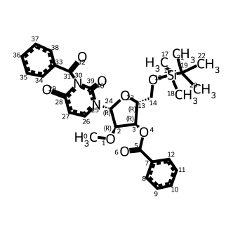 CO[C@@H]1[C@H](OC(=O)c2ccccc2)[C@@H](CO[Si](C)(C)C(C)(C)C)O[C@H]1n1ccc(=O)n(C(=O)c2ccccc2)c1=O